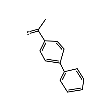 [CH2]C(=S)c1ccc(-c2ccccc2)cc1